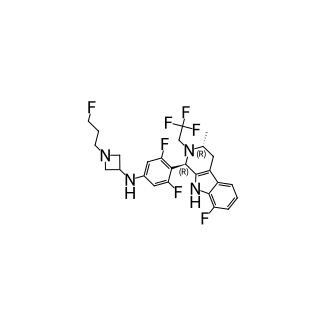 C[C@@H]1Cc2c([nH]c3c(F)cccc23)[C@@H](c2c(F)cc(NC3CN(CCCF)C3)cc2F)N1CC(F)(F)F